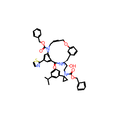 CC(C)c1cccc(C2(N(C[C@@H](O)[C@@H]3Cc4cccc(c4)OCC=CCN(C(=O)OCc4ccccc4)c4cc(cc(-c5nccs5)c4)C(=O)N3)C(=O)OCc3ccccc3)CC2)c1